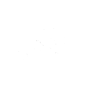 CCCN(C[C@H](C=O)CCCN(C)c1ccc(F)cc1)c1ncc(C=O)c2[nH]c3ccc(F)cc3c12